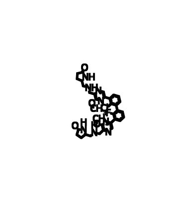 COc1nc(-c2cccc(-c3cccc(-c4cnc(CNCC5CCC(=O)N5)c(OC)n4)c3Cl)c2F)cnc1CNCC1CCC(=O)N1